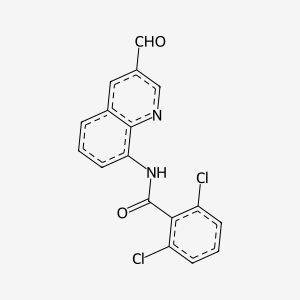 O=Cc1cnc2c(NC(=O)c3c(Cl)cccc3Cl)cccc2c1